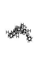 CC[C@H](C)C(NC(=O)[C@H](CC(C)C)NC(=O)OCc1ccccc1)C(=O)C(=O)N[C@@H](Cc1ccncc1)C(N)=O